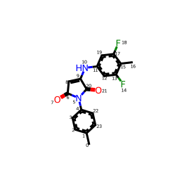 Cc1ccc(N2C(=O)C=C(Nc3cc(F)c(C)c(F)c3)C2=O)cc1